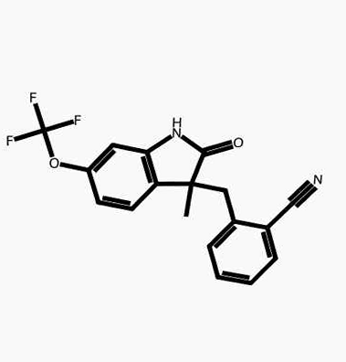 CC1(Cc2ccccc2C#N)C(=O)Nc2cc(OC(F)(F)F)ccc21